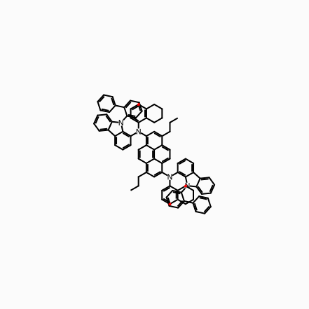 CCCc1cc(N(c2cccc3c2CCCC3)c2cccc3c4ccccc4n(-c4ccccc4-c4ccccc4)c23)c2ccc3c(CCC)cc(N(c4cccc5c4CCCC5)c4cccc5c6ccccc6n(-c6ccccc6-c6ccccc6)c45)c4ccc1c2c34